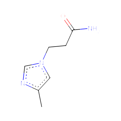 Cc1cn(CCC(N)=O)cn1